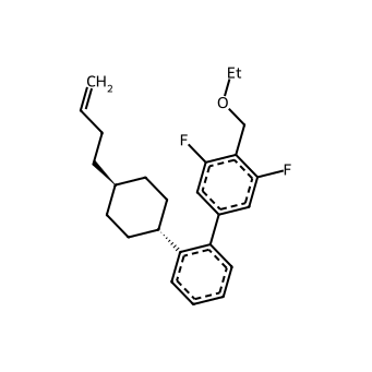 C=CCC[C@H]1CC[C@H](c2ccccc2-c2cc(F)c(COCC)c(F)c2)CC1